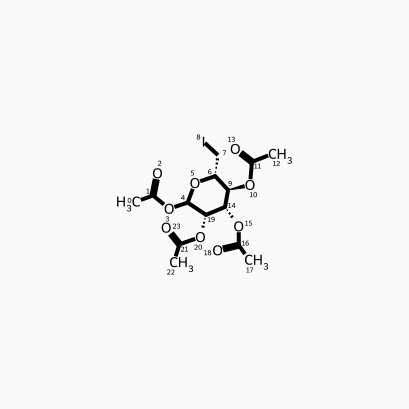 CC(=O)OC1O[C@H](CI)[C@@H](OC(C)=O)[C@H](OC(C)=O)[C@@H]1OC(C)=O